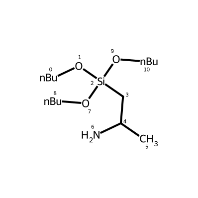 CCCCO[Si](CC(C)N)(OCCCC)OCCCC